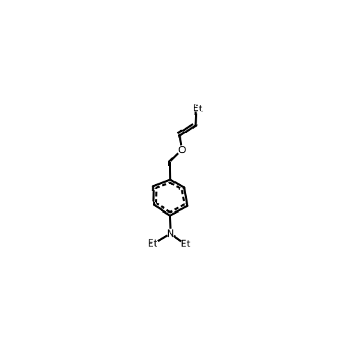 CCC=COCc1ccc(N(CC)CC)cc1